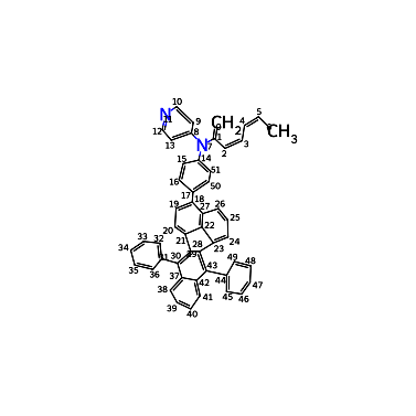 C=C(/C=C\C=C/C)N(c1ccncc1)c1ccc(-c2ccc3c4c(cccc24)-c2c-3c(-c3ccccc3)c3ccccc3c2-c2ccccc2)cc1